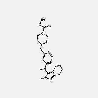 CC(C)OC(=O)N1CCC(Oc2cc(N(C)c3c4c(nn3C)CCCC4)ncn2)CC1